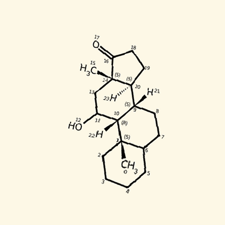 C[C@]12CCCCC1CC[C@@H]1[C@H]2C(O)C[C@]2(C)C(=O)CC[C@@H]12